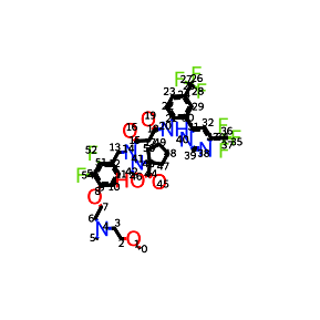 COCCN(C)CCOc1ccc(CN(C(=O)CC(=O)Nc2ccc(C(F)(F)F)cc2-c2cc(C(F)(F)F)ncn2)N(C)C2(C(=O)O)CCCC2)c(F)c1F